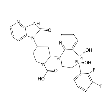 O=C(O)N1CCC(n2c(=O)[nH]c3ncccc32)CC1[C@H]1CC[C@@](O)(c2cccc(F)c2F)[C@@H](O)c2cccnc21